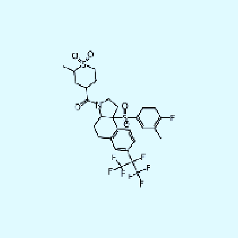 Cc1cc(S(=O)(=O)C23CCN(C(=O)C4CCS(=O)(=O)C(C)C4)C2CCc2cc(C(F)(C(F)(F)F)C(F)(F)F)ccc23)ccc1F